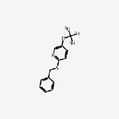 [2H]C([2H])([2H])Oc1ccc(SCc2ccccc2)nc1